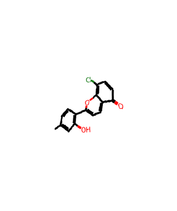 Cc1ccc(-c2ccc3c(=O)ccc(Cl)c-3o2)c(O)c1